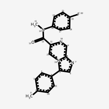 Cc1ccc(-c2cnc3cnc(C(=O)N(C)c4ccc(F)cc4)cn23)cc1